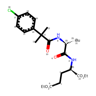 CCOC(=O)CC[C@@H](NC(=O)[C@@H](NC(=O)C(C)(C)c1ccc(Cl)cc1)[C@@H](C)CC)C(=O)OCC